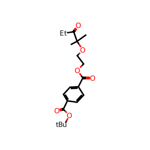 CCC(=O)C(C)(C)OCCOC(=O)c1ccc(C(=O)OC(C)(C)C)cc1